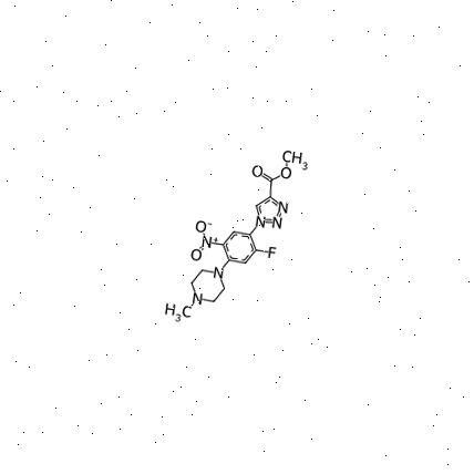 COC(=O)c1cn(-c2cc([N+](=O)[O-])c(N3CCN(C)CC3)cc2F)nn1